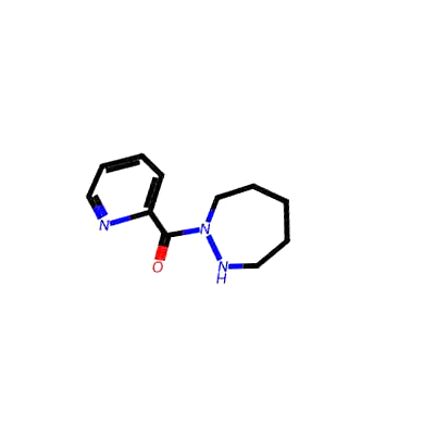 O=C(c1ccccn1)N1CCCCCN1